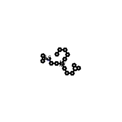 C=C/C(=C\Cn1c2ccccc2c2ccccc21)c1cccc(-c2ccc(-c3nc(-c4ccc(-c5cccc(-c6cccc(C7=Cc8ccccc8-c8ccccc8C7)c6)c5)cc4)nc(-c4ccc(-c5cccc(-c6cccc(-c7cccc(-c8ccccc8)c7)c6)c5)cc4)n3)cc2)c1